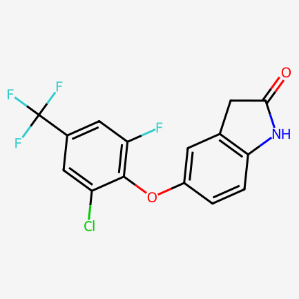 O=C1Cc2cc(Oc3c(F)cc(C(F)(F)F)cc3Cl)ccc2N1